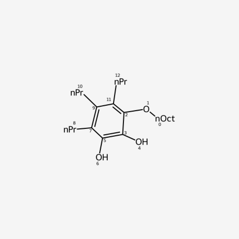 CCCCCCCCOc1c(O)c(O)c(CCC)c(CCC)c1CCC